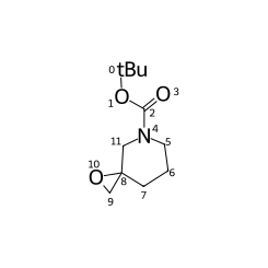 CC(C)(C)OC(=O)N1CCCC2(CO2)C1